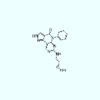 CCCOCCNc1ncc2c3n[nH]cc3c(=O)n(-c3ccccc3)c2n1